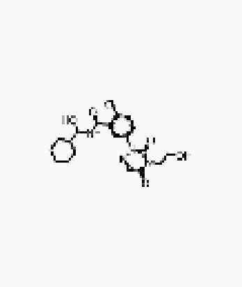 O=C(NC(O)C1CCCCC1)c1cc(-n2ncc(=O)n(CCO)c2=O)ccc1Cl